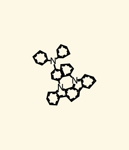 c1ccc(N(c2ccccc2)c2ccc(-n3c4ccccc4c4ccc5c6ccccc6n(-c6ccccc6)c5c43)cc2)cc1